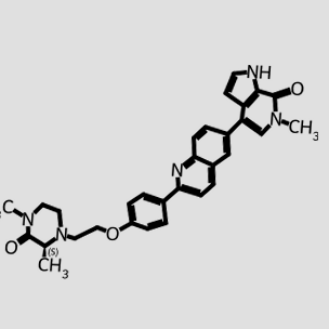 C[C@H]1C(=O)N(C)CCN1CCOc1ccc(-c2ccc3cc(-c4cn(C)c(=O)c5[nH]ccc45)ccc3n2)cc1